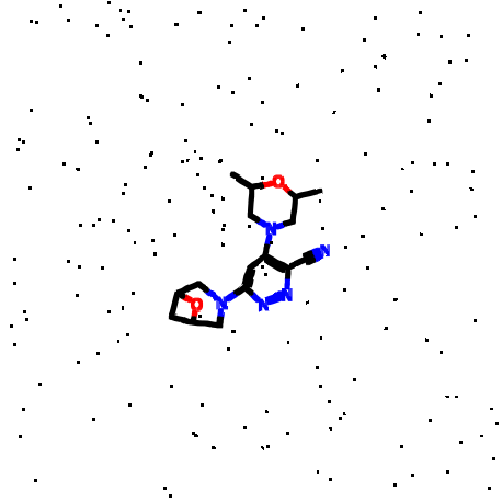 CC1CN(c2cc(N3CC4CC(C3)O4)nnc2C#N)CC(C)O1